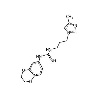 Cc1cn(CCCNC(=N)Nc2ccc3c(c2)OCCO3)cn1